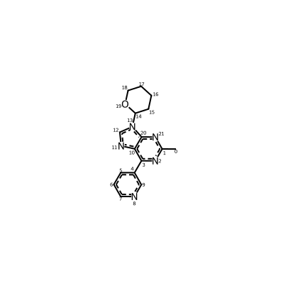 Cc1nc(-c2cccnc2)c2ncn(C3CCCCO3)c2n1